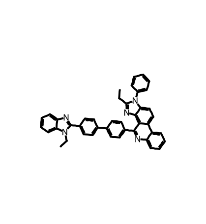 CCc1nc2c3c(-c4ccc(-c5ccc(-c6nc7ccccc7n6CC)cc5)cc4)nc4ccccc4c3ccc2n1-c1ccccc1